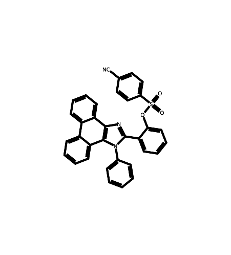 N#Cc1ccc(S(=O)(=O)Oc2ccccc2-c2nc3c4ccccc4c4ccccc4c3n2-c2ccccc2)cc1